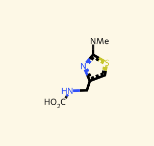 CNc1nc(CNC(=O)O)cs1